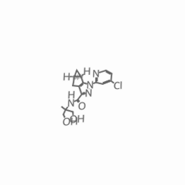 CC(CO)(CO)NC(=O)c1nn(-c2cc(Cl)ccn2)c2c1C[C@@H]1C[C@H]21